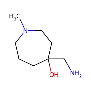 CN1CCCC(O)(CN)CC1